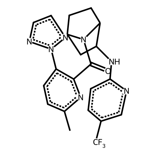 Cc1ccc(-n2nccn2)c(C(=O)N2C3CCC2C(Nc2ccc(C(F)(F)F)cn2)C3)n1